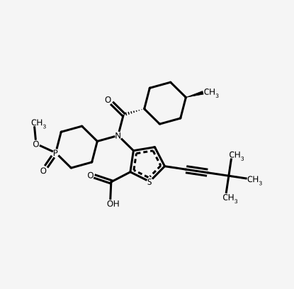 COP1(=O)CCC(N(c2cc(C#CC(C)(C)C)sc2C(=O)O)C(=O)[C@H]2CC[C@H](C)CC2)CC1